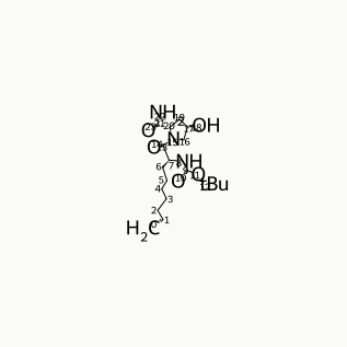 C=CCCCCC[C@H](NC(=O)OC(C)(C)C)C(=O)N1C[C@H](O)C[C@H]1C(N)=O